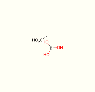 CC(=O)O.OB(O)O